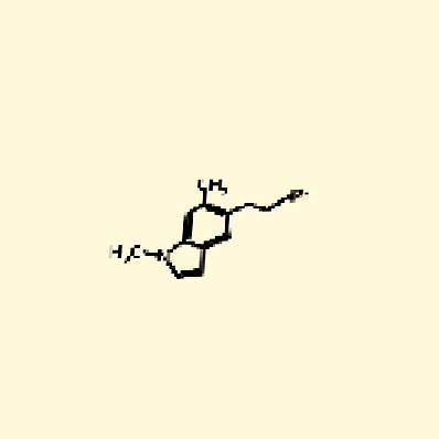 Cc1cc2c(ccn2C)cc1CCC(C)C